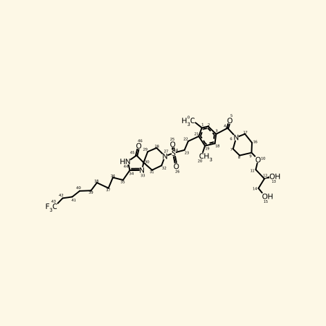 Cc1cc(C(=O)N2CCC(OC[C@@H](O)CO)CC2)cc(C)c1CCS(=O)(=O)N1CCC2(CC1)N=C(CCCCCCCCC(F)(F)F)NC2=O